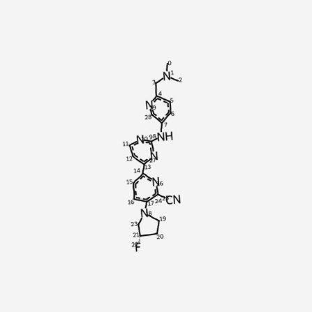 CN(C)Cc1ccc(Nc2nccc(-c3ccc(N4CC[C@H](F)C4)c(C#N)n3)n2)cn1